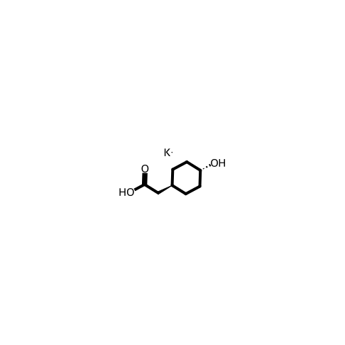 O=C(O)C[C@H]1CC[C@H](O)CC1.[K]